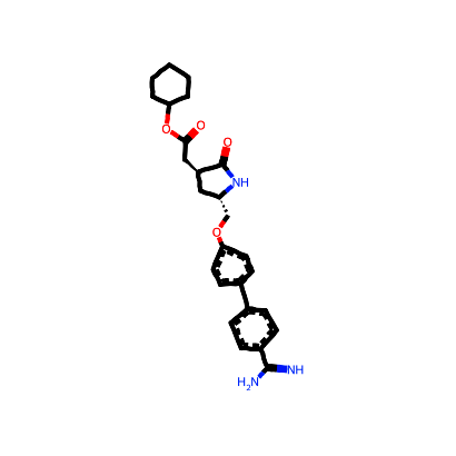 N=C(N)c1ccc(-c2ccc(OC[C@@H]3C[C@@H](CC(=O)OC4CCCCC4)C(=O)N3)cc2)cc1